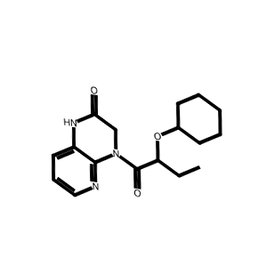 CCC(OC1CCCCC1)C(=O)N1CC(=O)Nc2cccnc21